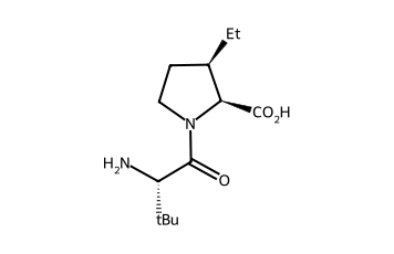 CC[C@@H]1CCN(C(=O)[C@@H](N)C(C)(C)C)[C@@H]1C(=O)O